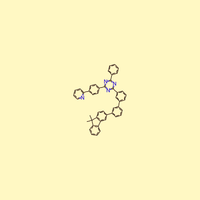 CC1(C)c2ccccc2-c2cc(-c3cccc(-c4cccc(-c5nc(-c6ccccc6)nc(-c6ccc(-c7ccccn7)cc6)n5)c4)c3)ccc21